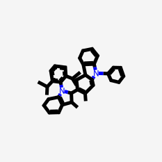 CC1=C(C2C(C)C3=C(CCC=C3)N2c2c(C(C)C)cccc2C(C)C)CC2C(=C1)N(C1=CC=CCC1)C1=C2CCC=C1